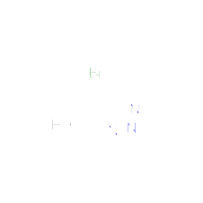 CCc1nnn2cccc(Br)c12